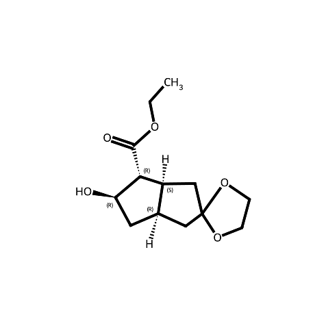 CCOC(=O)[C@@H]1[C@H]2CC3(C[C@H]2C[C@H]1O)OCCO3